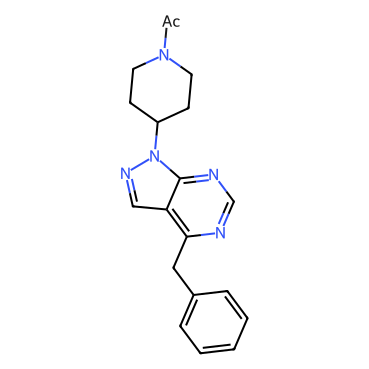 CC(=O)N1CCC(n2ncc3c(Cc4ccccc4)ncnc32)CC1